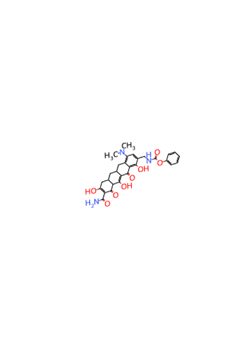 CN(C)c1cc(CNC(=O)Oc2ccccc2)c(O)c2c1CC1CC3CC(O)=C(C(N)=O)C(=O)C3C(O)=C1C2=O